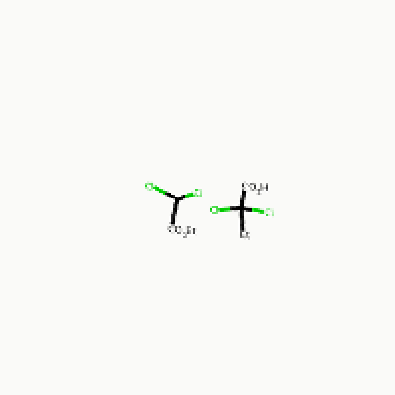 CCC(Cl)(Cl)C(=O)O.CCOC(=O)C(Cl)Cl